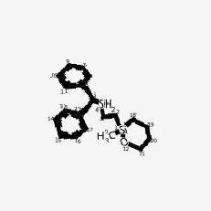 C[Si]1(CC[SiH2]C(c2ccccc2)c2ccccc2)CCCCO1